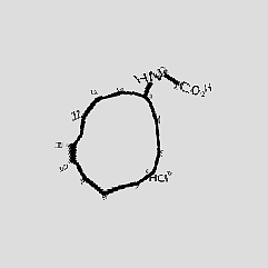 Cl.O=C(O)NC1CCCCCCCCCCC1